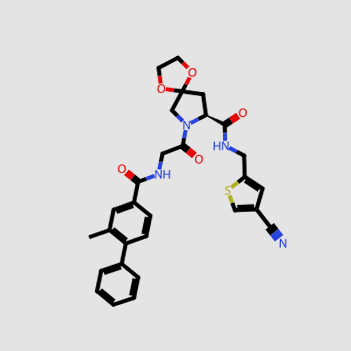 Cc1cc(C(=O)NCC(=O)N2CC3(C[C@H]2C(=O)NCc2cc(C#N)cs2)OCCO3)ccc1-c1ccccc1